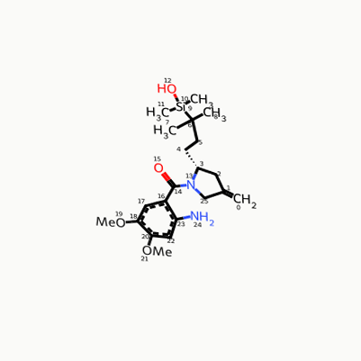 C=C1C[C@@H](CCC(C)(C)[Si](C)(C)O)N(C(=O)c2cc(OC)c(OC)cc2N)C1